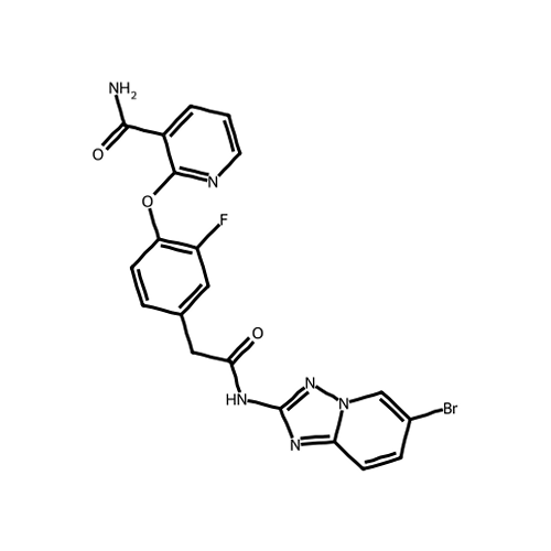 NC(=O)c1cccnc1Oc1ccc(CC(=O)Nc2nc3ccc(Br)cn3n2)cc1F